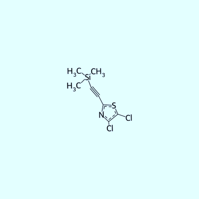 C[Si](C)(C)C#Cc1nc(Cl)c(Cl)s1